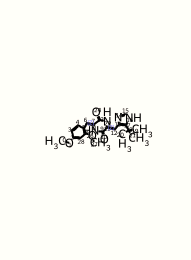 COc1ccc(/C=c2\[nH]c(=O)/c(=C/c3nc[nH]c3C(C)(C)C)[nH]c2=O)c(OC)c1